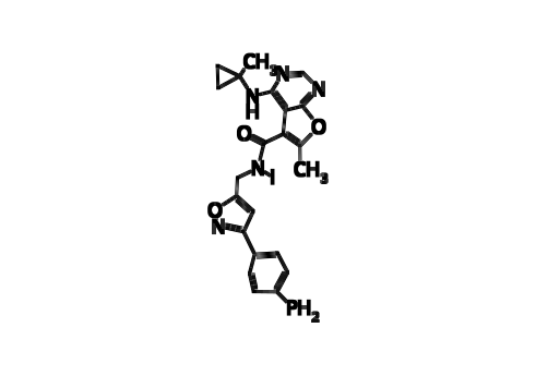 Cc1oc2ncnc(NC3(C)CC3)c2c1C(=O)N(I)Cc1cc(-c2ccc(P)cc2)no1